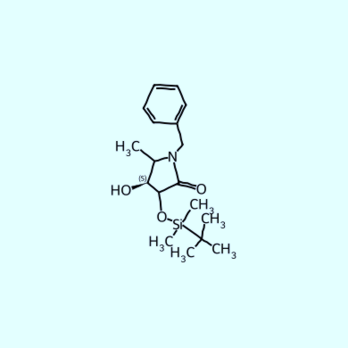 CC1[C@H](O)C(O[Si](C)(C)C(C)(C)C)C(=O)N1Cc1ccccc1